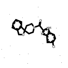 O=C(c1nc2cc(Cl)ccc2[nH]1)N1CCC2(CC1)OCc1ccccc12